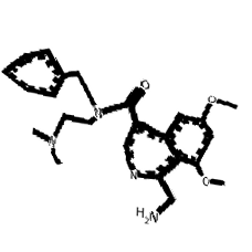 COc1cc(OC)c2c(CN)ncc(C(=O)N(CCN(C)C)Cc3ccccc3)c2c1